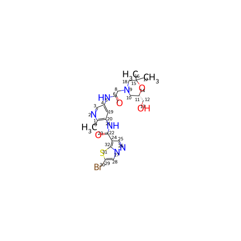 Cc1ncc(NC(=O)CN2C[C@@H](CO)OC(C)(C)C2)cc1NC(=O)c1cnn2cc(Br)sc12